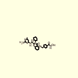 CCC(Nc1cc(C)nc(N)n1)c1nc2cccc(NCc3ccc(C(=O)NO)cc3)c2c(=O)n1-c1ccccc1